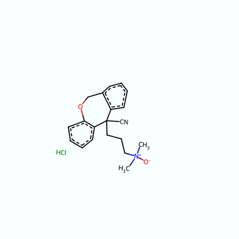 C[N+](C)([O-])CCCC1(C#N)c2ccccc2COc2ccccc21.Cl